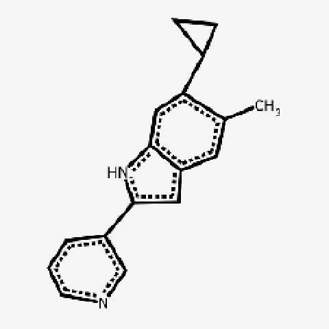 Cc1cc2cc(-c3cccnc3)[nH]c2cc1C1CC1